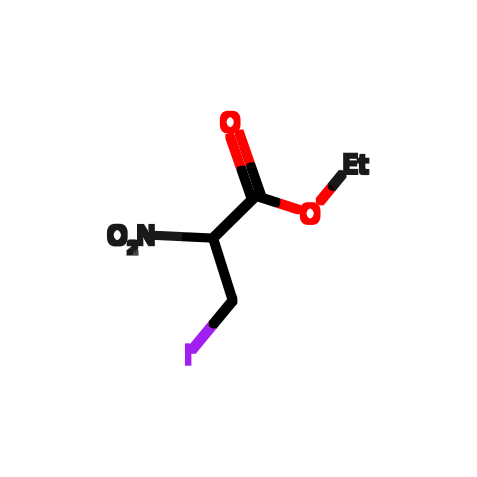 CCOC(=O)C(CI)[N+](=O)[O-]